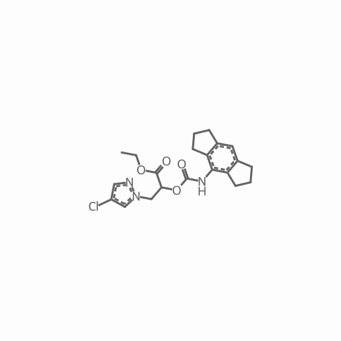 CCOC(=O)C(Cn1cc(Cl)cn1)OC(=O)Nc1c2c(cc3c1CCC3)CCC2